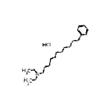 CCN(CC)CCCCCCCCCCCc1ccccc1.Cl